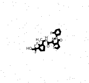 C[C@@H](NC(=O)c1nn(-c2ccccc2F)c(=O)c2ccsc12)c1cccc(C(F)(F)CO)c1F